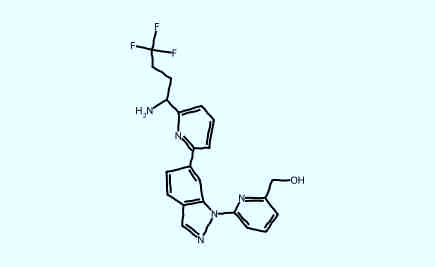 NC(CCC(F)(F)F)c1cccc(-c2ccc3cnn(-c4cccc(CO)n4)c3c2)n1